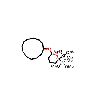 CO[Si](OC)(OC)[Si]1([Si](OC)(OC)OC)CCCC(OC2CCCCCCCCCCC2)O1